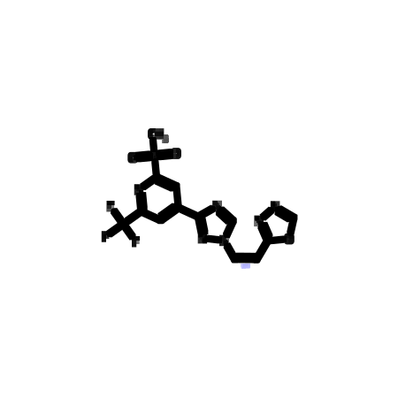 CS(=O)(=O)c1cc(-c2ncn(/C=C\c3nnco3)n2)cc(C(F)(F)F)n1